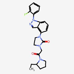 CCC1CCCN1C(=O)CN1CCN(c2cccc3c2cnn3-c2ccccc2F)C1=O